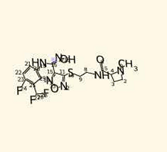 CN1CCC1C(=O)NCCSc1nonc1/C(=N\O)Nc1ccc(F)c(C(F)F)c1